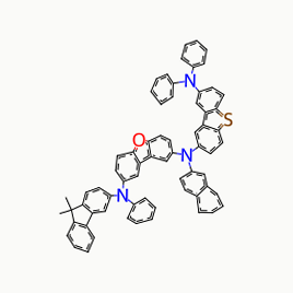 CC1(C)c2ccccc2-c2cc(N(c3ccccc3)c3ccc4oc5ccc(N(c6ccc7ccccc7c6)c6ccc7sc8ccc(N(c9ccccc9)c9ccccc9)cc8c7c6)cc5c4c3)ccc21